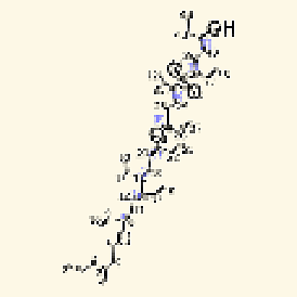 C=CCC(C)CCO/C(C=C)=C/C=C(C=C)/C(C=C)=C/C=C(\C=C)O/C(C=C)=C/C=C(\C=C)S(=O)(=O)/C(C=C)=C/C=C(/O)C=C